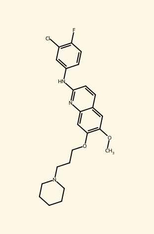 COc1cc2ccc(Nc3ccc(F)c(Cl)c3)nc2cc1OCCCN1CCCCC1